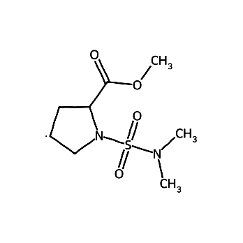 COC(=O)C1C[CH]CN1S(=O)(=O)N(C)C